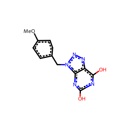 COc1ccc(Cn2nnc3c(O)nc(O)nc32)cc1